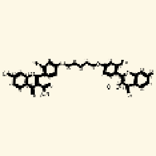 C=C(C#N)C1=C(c2ccc(OCCCCCOc3ccc(C4=C(C=O)C(=C)c5ccc(C)cc5O4)c(F)c3)cc2F)Oc2cc(Cl)ccc2C1=C